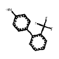 [NH]c1ccc(-c2ccccc2C(F)(F)F)cc1